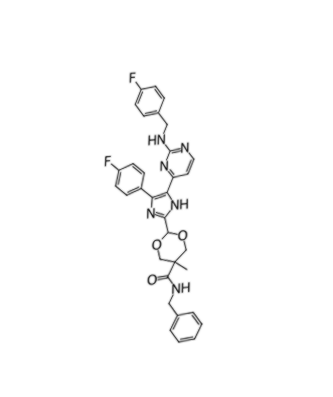 CC1(C(=O)NCc2ccccc2)COC(c2nc(-c3ccc(F)cc3)c(-c3ccnc(NCc4ccc(F)cc4)n3)[nH]2)OC1